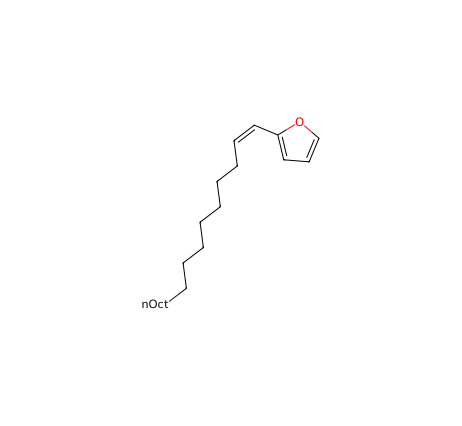 CCCCCCCCCCCCCCC/C=C\c1ccco1